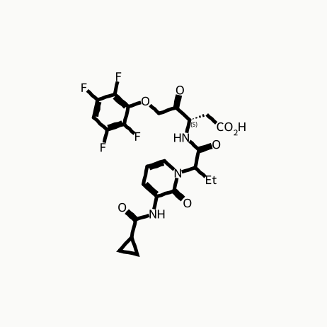 CCC(C(=O)N[C@@H](CC(=O)O)C(=O)COc1c(F)c(F)cc(F)c1F)n1cccc(NC(=O)C2CC2)c1=O